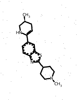 C[C@H]1CC=C(c2ccc3nc(C4CCN(C)CC4)sc3c2)NC1